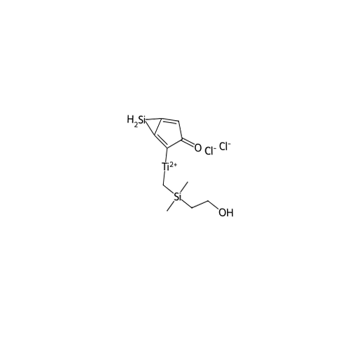 C[Si](C)(CCO)[CH2][Ti+2][C]1=C2[SiH2]C2=CC1=O.[Cl-].[Cl-]